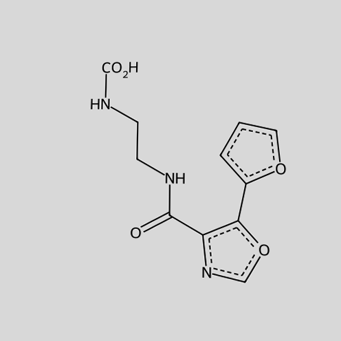 O=C(O)NCCNC(=O)c1ncoc1-c1ccco1